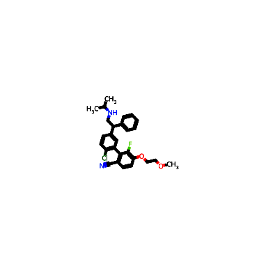 COCCOc1ccc(C#N)c(-c2cc(C(CNC(C)C)c3ccccc3)ccc2Cl)c1F